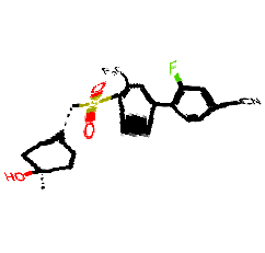 C[C@]1(O)CC[C@H](CS(=O)(=O)c2ccc(-c3ccc(C#N)cc3F)cc2C(F)(F)F)CC1